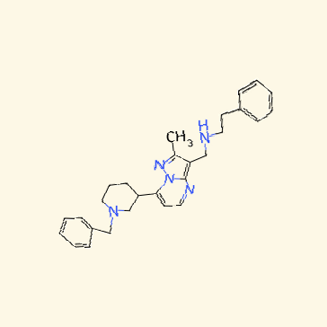 Cc1nn2c(C3CCCN(Cc4ccccc4)C3)ccnc2c1CNCCc1ccccc1